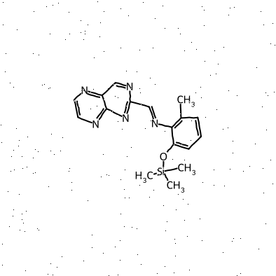 Cc1cccc(O[Si](C)(C)C)c1N=Cc1ncc2nccnc2n1